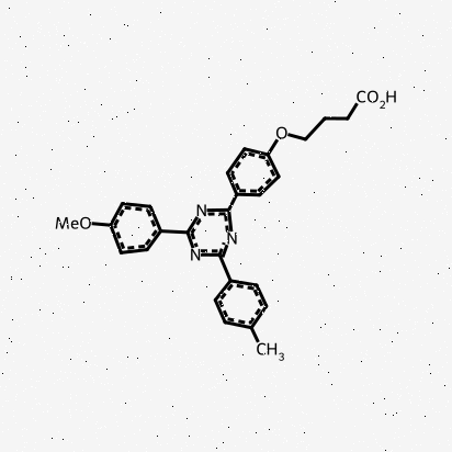 COc1ccc(-c2nc(-c3ccc(C)cc3)nc(-c3ccc(OCCCC(=O)O)cc3)n2)cc1